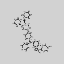 CC1C=CC2=C(C1)c1ccc(N(C3=CCCC=C3)c3ccc(C4CCC5C(C4)C4C=CC=CC4N5c4ccccc4)cc3)cc1C2(C)C